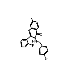 Cc1ccc2c(=O)n(NCc3ccc(Br)cc3)c(-c3ccccc3F)nc2c1